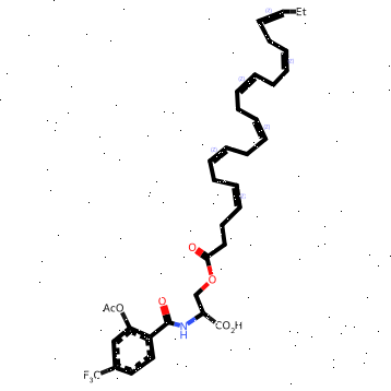 CC/C=C\C/C=C\C/C=C\C/C=C\C/C=C\C/C=C\CCC(=O)OCC(NC(=O)c1ccc(C(F)(F)F)cc1OC(C)=O)C(=O)O